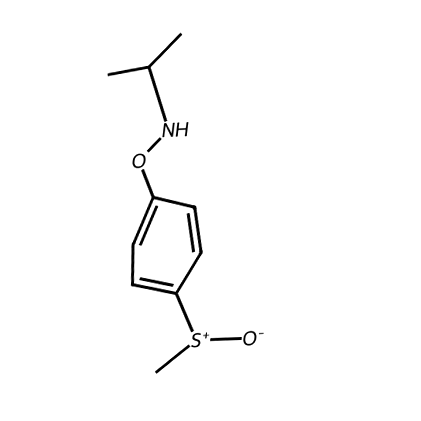 CC(C)NOc1ccc([S+](C)[O-])cc1